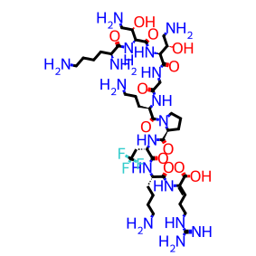 N=C(N)NCC/C=C(\NC(=O)[C@H](CCCCN)NC(=O)[C@H](CC(F)(F)F)NC(=O)[C@@H]1CCCN1C(=O)[C@@H](CCCN)NC(=O)CNC(=O)[C@@H](NC(=O)[C@@H](NC(=O)[C@@H](N)CCCCN)[C@@H](O)CN)[C@@H](O)CN)C(=O)O